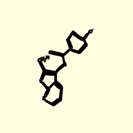 O=C(Oc1c(C(=O)O)sc2ncccc12)c1ccc(Cl)cc1